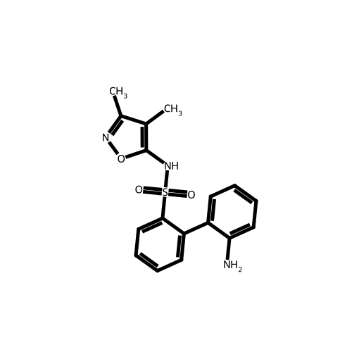 Cc1noc(NS(=O)(=O)c2ccccc2-c2ccccc2N)c1C